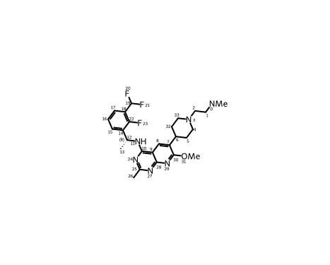 CNCCN1CCC(c2cc3c(N[C@H](C)c4cccc(C(F)F)c4F)nc(C)nc3nc2OC)CC1